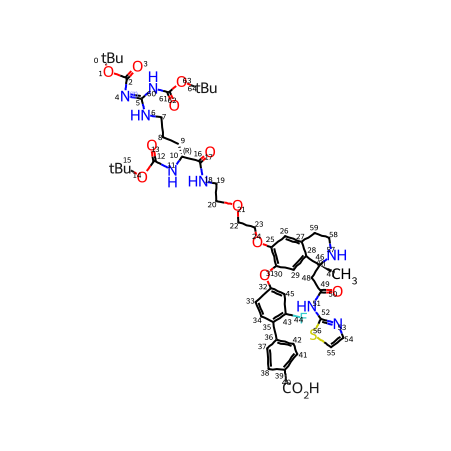 CC(C)(C)OC(=O)/N=C(/NCCC[C@@H](NC(=O)OC(C)(C)C)C(=O)NCCOCCOc1cc2c(cc1Oc1ccc(-c3ccc(C(=O)O)cc3)c(F)c1)[C@@](C)(CC(=O)Nc1nccs1)NCC2)NC(=O)OC(C)(C)C